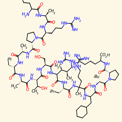 CC[C@H](C)[C@H](NC(=O)C(CC1CCCCC1)NC(=O)C(C)(CCCNC(=N)N)NC(=O)[C@H](CC(C)C)NC(=O)C(NC(=O)[C@H](CO)NC(=O)[C@@H](NC(=O)[C@H](C)NC(=O)[C@H](CC(C)C)NC(=O)[C@H](C)NC(=O)[C@@H]1CCCN1C(=O)[C@H](CCCNC(=N)N)NC(=O)[C@H](C)NC(=O)C(N)CCC(=O)O)C(C)O)[C@@H](C)[C@H](C)CNC(=N)N)C(=O)N1CCC[C@H]1C(=O)NC(CCCCN)C(=O)O